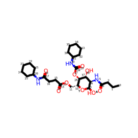 CCCC(=O)N[C@H]1C(O)O[C@H](COC(=O)CCC(=O)NC2CCCCC2)[C@@H](OC(=O)NC2CCCCC2)[C@@H]1O